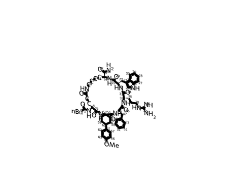 CCCCC(=O)N[C@H]1CCC(=O)NCCCC[C@@H](C(N)=O)NC(=O)[C@H](Cc2c[nH]c3ccccc23)NC(=O)[C@H](CCCNC(=N)N)NC(=O)[C@@H](Cc2ccccc2)NC(=O)C2(CCC(c3ccc(OC)cc3)CC2)NC1=O